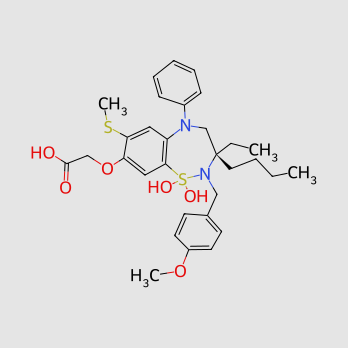 CCCC[C@]1(CC)CN(c2ccccc2)c2cc(SC)c(OCC(=O)O)cc2S(O)(O)N1Cc1ccc(OC)cc1